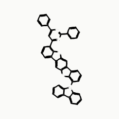 c1ccc(-c2cc(-c3cccc4c3oc3cc5c(cc34)oc3c(-n4c6ccccc6c6ccccc64)cccc35)nc(-c3ccccc3)n2)cc1